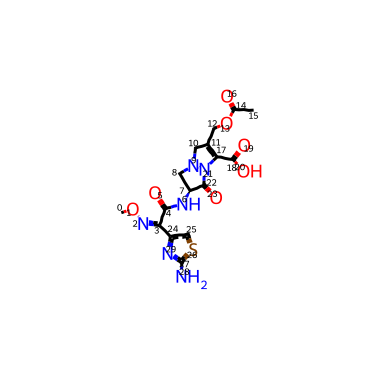 CO/N=C(\C(=O)N[C@H]1CN2CC(COC(C)=O)=C(C(=O)O)N2C1=O)c1csc(N)n1